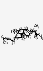 COC(=O)CC[C@@H](C)C1CCC2C3C[C@H](O)[C@@H]4C[C@H](NCCNC(C)C)CC[C@]4(C)C3CC[C@@]21C